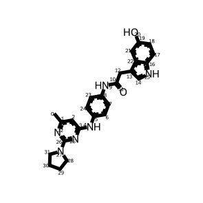 Cc1cc(Nc2ccc(NC(=O)Cc3c[nH]c4ccc(O)cc34)cc2)nc(N2CCCC2)n1